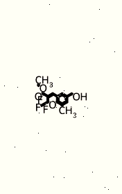 CCOC(=O)C1=Cc2cc(CO)cc(C)c2OC1C(F)(F)F